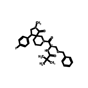 CN1CC(c2ccc(F)cc2)C2(CCCN(C(=O)[C@@H](COCc3ccccc3)NC(=O)C(C)(C)N)C2)C1=O